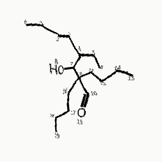 CCCCC(CC)C(O)C([C]=O)(CCCC)CCCC